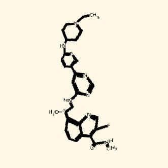 CCN1CCC(Nc2ccc(-c3cc(NC[C@@H](C)c4cccc5c(C(=O)NC)c(F)cnc45)ncn3)cn2)CC1